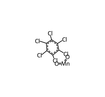 Clc1c(Cl)c(Cl)c(Cl)c(Cl)c1Cl.[O]=[Mn]=[O]